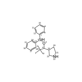 CC(C)(C)C(O[SiH](c1ccccc1)c1ccccc1)C1CCNC1